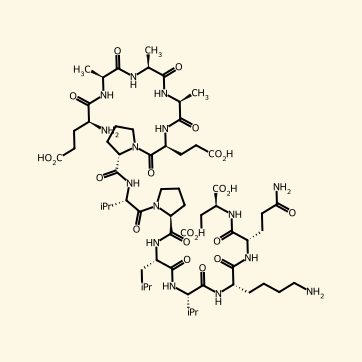 CC(C)C[C@H](NC(=O)[C@@H]1CCCN1C(=O)[C@@H](NC(=O)[C@@H]1CCCN1C(=O)[C@H](CCC(=O)O)NC(=O)[C@H](C)NC(=O)[C@H](C)NC(=O)[C@H](C)NC(=O)[C@@H](N)CCC(=O)O)C(C)C)C(=O)N[C@H](C(=O)N[C@@H](CCCCN)C(=O)N[C@@H](CCC(N)=O)C(=O)N[C@@H](CC(=O)O)C(=O)O)C(C)C